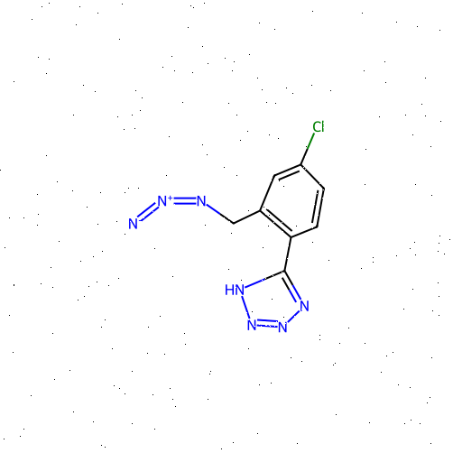 [N-]=[N+]=NCc1cc(Cl)ccc1-c1nnn[nH]1